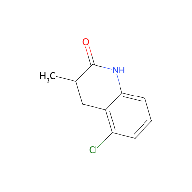 CC1Cc2c(Cl)cccc2NC1=O